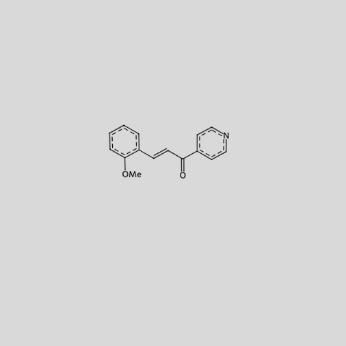 COc1ccccc1/C=C/C(=O)c1ccncc1